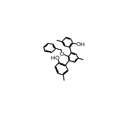 Cc1ccc(O)c(-c2cc(C)cc(-c3cc(C)ccc3O)c2OCc2ccccc2)c1